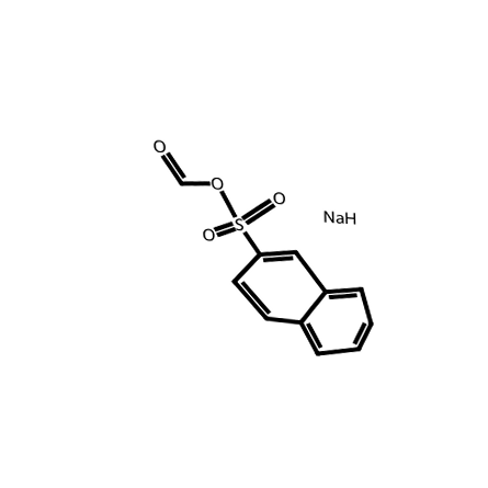 O=COS(=O)(=O)c1ccc2ccccc2c1.[NaH]